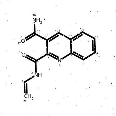 C=CNC(=O)c1nc2ccccc2cc1C(N)=O